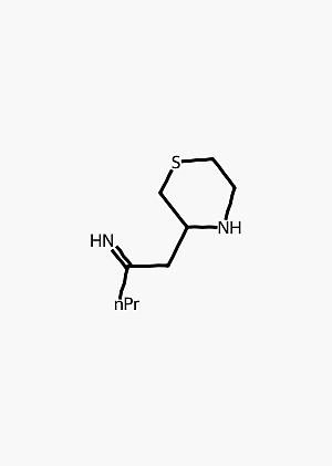 CCCC(=N)CC1CSCCN1